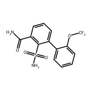 NC(=O)c1cccc(-c2ccccc2OC(F)(F)F)c1S(N)(=O)=O